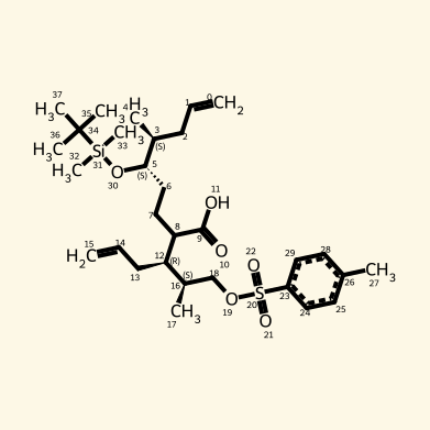 C=CC[C@H](C)[C@H](CCC(C(=O)O)[C@H](CC=C)[C@H](C)COS(=O)(=O)c1ccc(C)cc1)O[Si](C)(C)C(C)(C)C